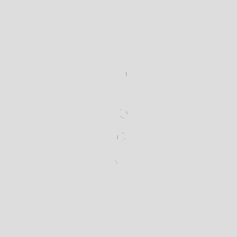 CC=CCOCc1ccc(CCc2ccc(CCC3CCC(CC=CCC)C(F)C3)cc2)cc1